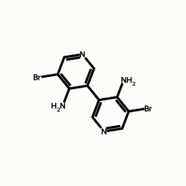 Nc1c(Br)cncc1-c1cncc(Br)c1N